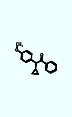 COc1ccc(C(C(=O)c2ccccc2)C2CC2)cc1